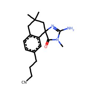 [C-]#[N+]CCCc1ccc2c(c1)C1(CC(C)(C)C2)N=C(N)N(C)C1=O